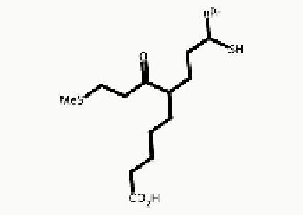 CCCC(S)CCC(CCCCC(=O)O)C(=O)CCSC